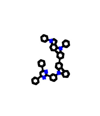 c1ccc(-c2cc(-c3ccccc3)nc(-c3cccc(-n4c5ccccc5c5cc(-c6ccc7c(c6)c6ccc8c(ccn8-c8ccccc8)c6n7-c6ccccc6)ccc54)c3)n2)cc1